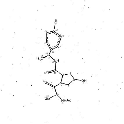 CC(=O)NC(C(=O)N1CC(O)CC1C(=O)N[C@@H](C)c1ccc(Cl)cc1)C(C)(C)C